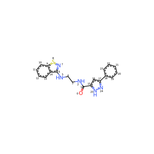 O=C(NCCNc1nsc2ccccc12)c1cc(-c2ccccc2)n[nH]1